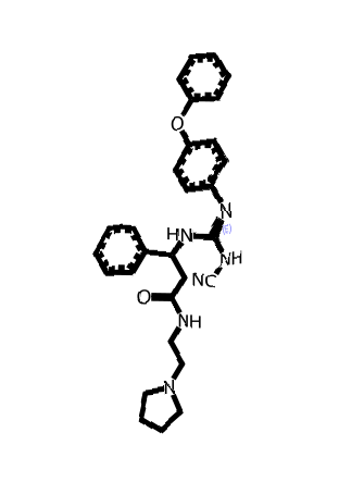 N#CN/C(=N/c1ccc(Oc2ccccc2)cc1)NC(CC(=O)NCCN1CCCC1)c1ccccc1